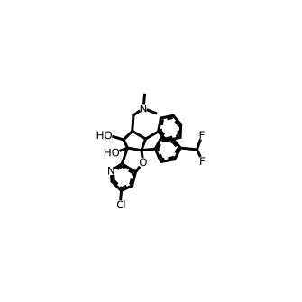 CN(C)CC1C(O)C2(O)c3ncc(Cl)cc3OC2(c2ccc(C(F)F)cc2)C1c1ccccc1